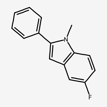 Cn1c(-c2ccccc2)cc2cc(F)ccc21